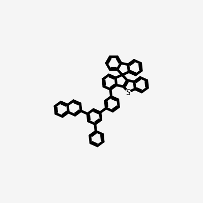 c1ccc(-c2cc(-c3cccc(-c4cccc5c4-c4sc6ccccc6c4C54c5ccccc5-c5ccccc54)c3)cc(-c3ccc4ccccc4c3)c2)cc1